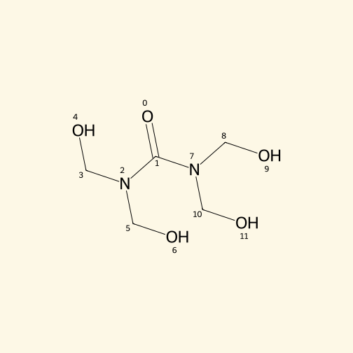 O=C(N(CO)CO)N(CO)CO